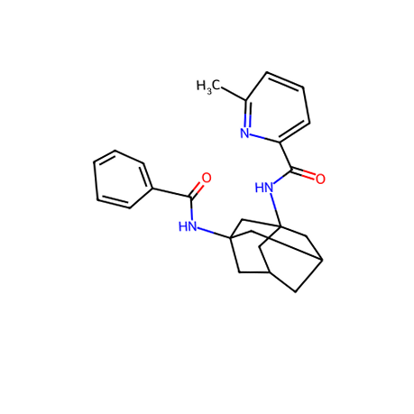 Cc1cccc(C(=O)NC23CC4CC(CC(NC(=O)c5ccccc5)(C4)C2)C3)n1